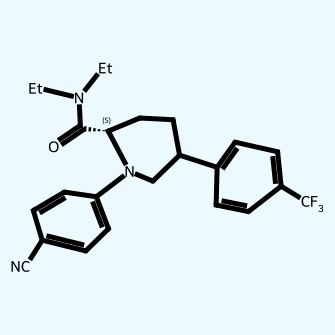 CCN(CC)C(=O)[C@@H]1CCC(c2ccc(C(F)(F)F)cc2)CN1c1ccc(C#N)cc1